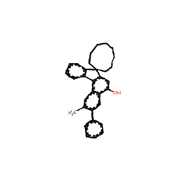 Cc1cc2c3c(cc(O)c2cc1-c1ccccc1)C1(CCCCCCCC1)c1ccccc1-3